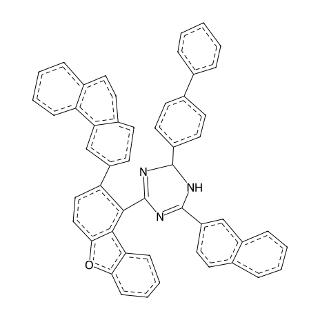 c1ccc(-c2ccc(C3N=C(c4c(-c5ccc6ccc7ccccc7c6c5)ccc5oc6ccccc6c45)N=C(c4ccc5ccccc5c4)N3)cc2)cc1